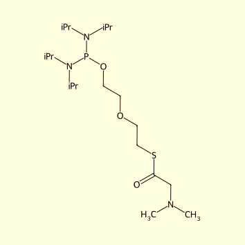 CC(C)N(C(C)C)P(OCCOCCSC(=O)CN(C)C)N(C(C)C)C(C)C